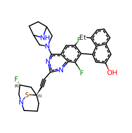 CCc1cccc2cc(O)cc(-c3c(F)cc4c(N5CC6CCC(C5)N6)nc(C#C[C@]56CCCN(C[C@H](F)C5)S6)nc4c3F)c12